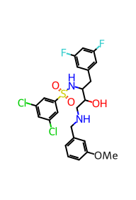 COc1cccc(CNCC(O)C(Cc2cc(F)cc(F)c2)NS(=O)(=O)c2cc(Cl)cc(Cl)c2)c1